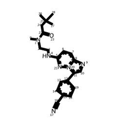 CN(CCNc1ccc2ncc(-c3ccc(C#N)cc3)n2n1)C(=O)CC(C)(C)C